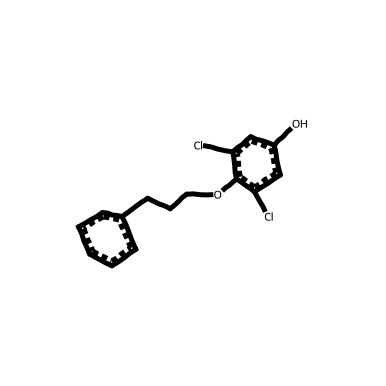 Oc1cc(Cl)c(OCCCc2ccccc2)c(Cl)c1